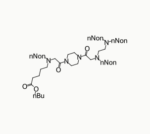 CCCCCCCCCN(CCCCCCCCC)CCN(CCCCCCCCC)CC(=O)N1CCN(C(=O)CN(CCCCCCCCC)CCCCC(=O)OCCCC)CC1